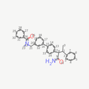 CC(c1ccccc1)C(C(N)=O)c1ccc(-c2cccc(CN(C)C(=O)c3ccccc3)c2)cc1